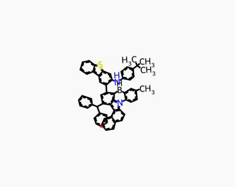 Cc1ccc2c(c1)Bc1c(-c3cc4c(cc3Nc3ccc(C(C)(C)C)cc3)sc3ccccc34)cc(C(c3ccccc3)c3ccccc3)c3c4c5ccccc5ccc4n-2c13